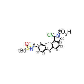 CC(C)(C)[S@+]([O-])/N=C/c1ccc(Cc2ccc3c(c2)C(Cl)N(C(=O)O)C3)cc1